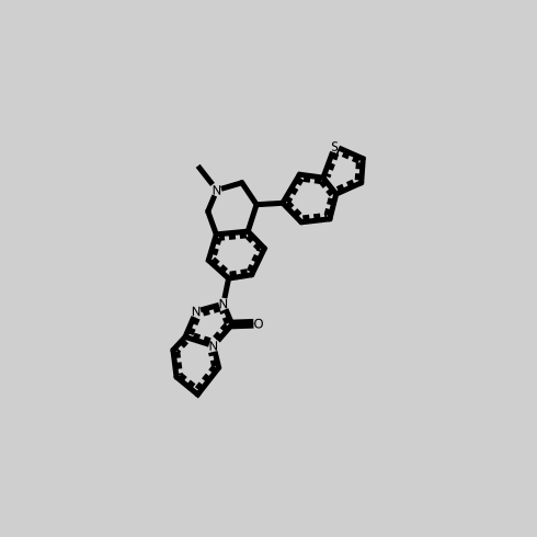 CN1Cc2cc(-n3nc4ccccn4c3=O)ccc2C(c2ccc3ccsc3c2)C1